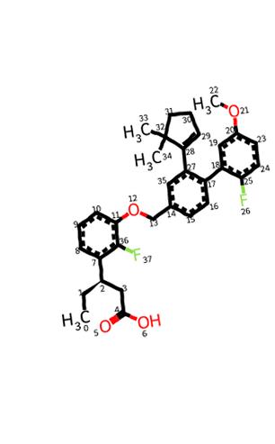 CC[C@H](CC(=O)O)c1cccc(OCc2ccc(-c3cc(OC)ccc3F)c(C3=CCCC3(C)C)c2)c1F